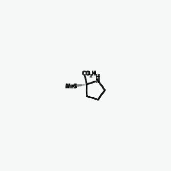 CS[C@@]1(C(=O)O)CCCN1